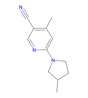 Cc1cc(N2CCC(C)C2)ncc1C#N